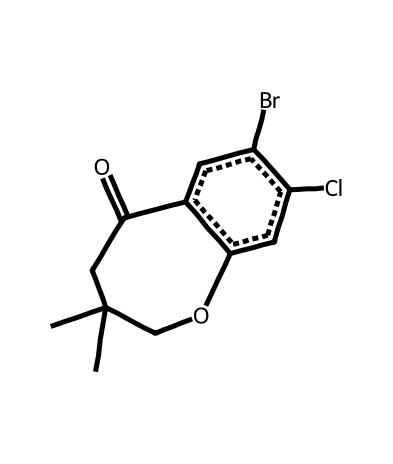 CC1(C)COc2cc(Cl)c(Br)cc2C(=O)C1